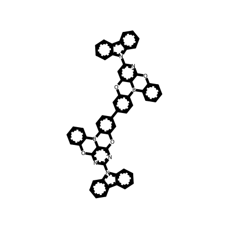 c1ccc2c(c1)Oc1nc(-n3c4ccccc4c4ccccc43)cc3c1B2c1ccc(-c2ccc4c(c2)Oc2nc(-n5c6ccccc6c6ccccc65)nc5c2B4c2ccccc2O5)cc1O3